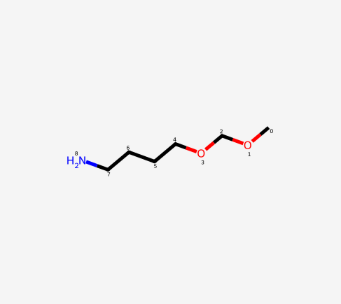 COCOCCCCN